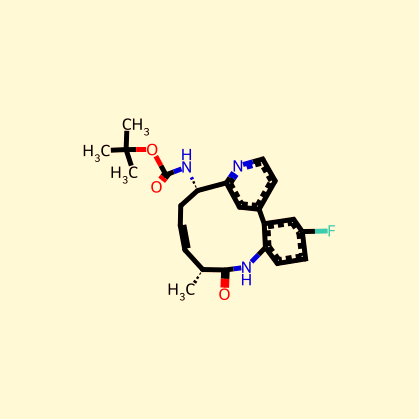 C[C@@H]1C=CC[C@H](NC(=O)OC(C)(C)C)c2cc(ccn2)-c2cc(F)ccc2NC1=O